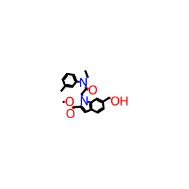 CCN(C(=O)Cn1c(C(=O)OC)cc2ccc(CO)cc21)c1cccc(C)c1